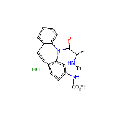 CCNC(C)C(=O)N1c2ccccc2C=Cc2ccc(NC(=O)OCC)cc21.Cl